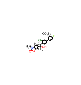 CCOC(=O)c1cc(-c2ccc(C(C)C(O)(c3ccc4c(c3)oc(=O)n4C)C(F)(F)F)c(Cl)c2)ccc1F